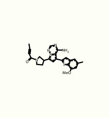 CC#CC(=O)N1CCC(c2cc(-c3cc4cc(C)cc(OC)c4s3)c3c(N)ncnn23)C1